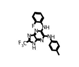 Cc1ccc(Nc2nc3[nH]c(C(F)(F)F)nc3nc2Nc2ccccc2F)cc1